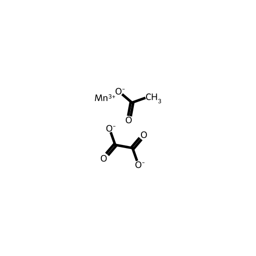 CC(=O)[O-].O=C([O-])C(=O)[O-].[Mn+3]